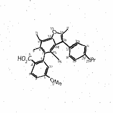 COc1ccc(C(=O)O)c(-c2c(C)c(C)c3oc(C)c(-c4ccc(C(C)C)cc4)c3c2C)c1